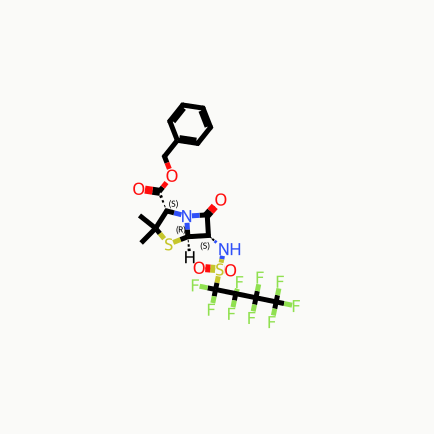 CC1(C)S[C@@H]2[C@@H](NS(=O)(=O)C(F)(F)C(F)(F)C(F)(F)C(F)(F)F)C(=O)N2[C@H]1C(=O)OCc1ccccc1